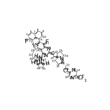 C#Cc1c(F)ccc2cccc(-c3nc4c5c(nc(OC[C@@]67CCCN6[C@H](COc6cnc(C(F)(F)F)cn6)CC7)nc5c3F)N3C[C@H]5CC[C@H](N5)[C@H]3CCC4)c12